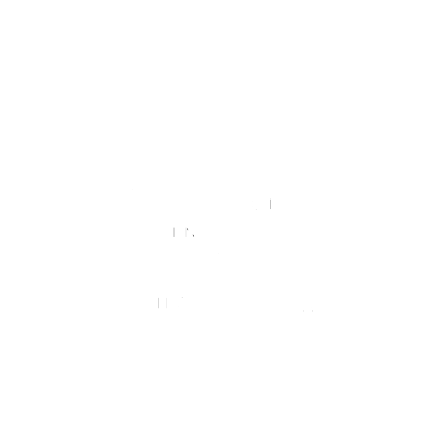 Cc1cc2c(c(C)c1NCc1ccccc1)CCO2